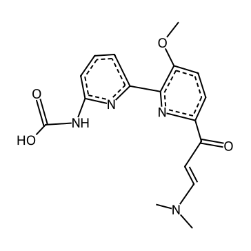 COc1ccc(C(=O)C=CN(C)C)nc1-c1cccc(NC(=O)O)n1